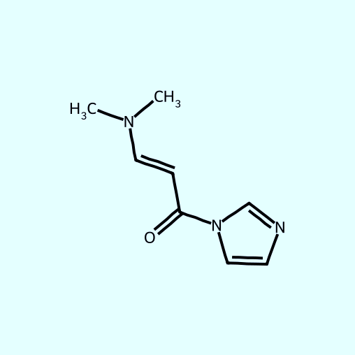 CN(C)C=CC(=O)n1ccnc1